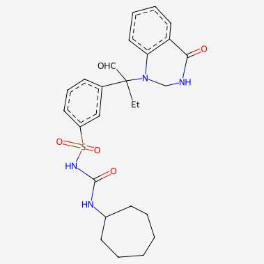 CCC(C=O)(c1cccc(S(=O)(=O)NC(=O)NC2CCCCCC2)c1)N1CNC(=O)c2ccccc21